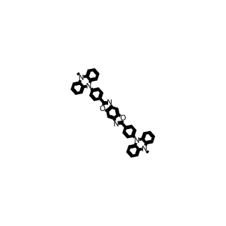 CN1c2ccccc2N(c2ccc(-c3nc4cc5oc(-c6ccc(N7c8ccccc8N(C)c8ccccc87)cc6)nc5cc4o3)cc2)c2ccccc21